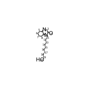 O=c1cnc2ccccc2n1CCCCCCCCCO